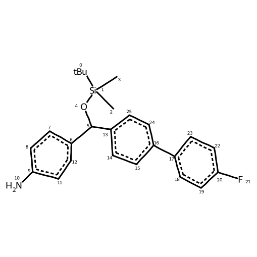 CC(C)(C)[Si](C)(C)OC(c1ccc(N)cc1)c1ccc(-c2ccc(F)cc2)cc1